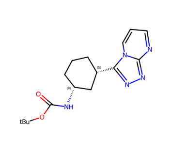 CC(C)(C)OC(=O)N[C@@H]1CCC[C@H](c2nnc3ncccn23)C1